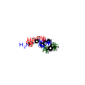 NS(=O)(=O)OC[C@H]1C[C@@H](Nc2ncncc2C(=O)c2ccn(Cc3cc(C(F)(F)F)ccc3C(F)(F)F)n2)[C@H](O)[C@@H]1O